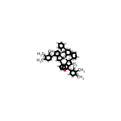 Cc1ccc(-c2cccc3c2C=C(c2ccccc2)[CH]3[Zr]([c]2cccc3c2[SiH2]c2ccccc2-3)[CH]2C(c3ccccc3)=Cc3c(-c4ccc(C)c(C)c4C)cccc32)c(C)c1C